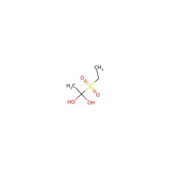 CCS(=O)(=O)C(C)(O)O